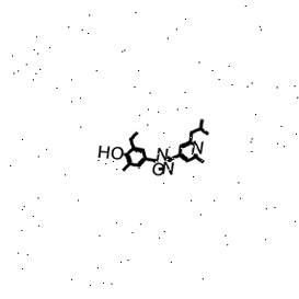 CCc1cc(-c2nc(-c3cc(C)nc(CC(C)C)c3)no2)cc(C)c1O